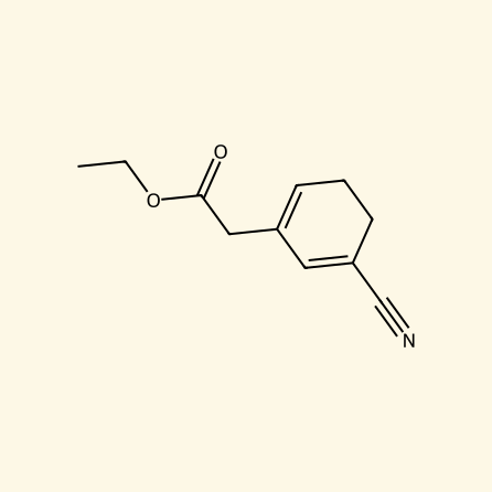 CCOC(=O)CC1=CCCC(C#N)=C1